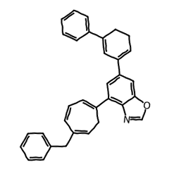 C1=CC(Cc2ccccc2)=CCC(c2cc(C3=CCCC(c4ccccc4)=C3)cc3ocnc23)=C1